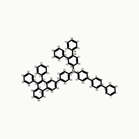 c1ccc(-c2ccc(-c3ccc(N(c4ccc(-c5ccc6c(c5)c(-c5ccccc5)c(-c5ccccc5)c5ccccc56)cc4)c4ccc(-c5ccccc5)c(-c5ccccc5)c4)cc3)cc2)cc1